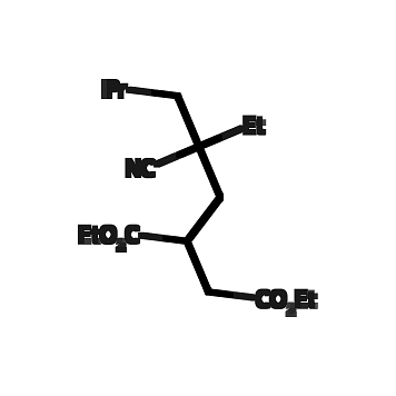 CCOC(=O)CC(CC(C#N)(CC)CC(C)C)C(=O)OCC